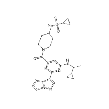 CC(Nc1cc(C(=O)N2CCC(NS(=O)(=O)C3CC3)CC2)nc(-c2cnn3ccsc23)n1)C1CC1